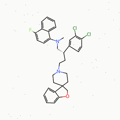 CN(C[C@@H](CCN1CCC2(CC1)COc1ccccc12)c1ccc(Cl)c(Cl)c1)c1ccc(F)c2ccccc12